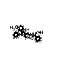 CN1CCc2[nH]c(-c3ccnc(NC(=O)[C@H](CO)c4ccc(F)cc4)c3)c(Nc3ccccc3)c2C1=O